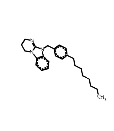 CCCCCCCCc1ccc(CN2C3=NCCCN3c3ccccc32)cc1